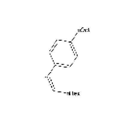 CCCCCC/C=[C]\c1ccc(CCCCCCCC)cc1